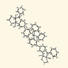 CC12CCCC1(C)N(c1ccccc1)c1ccc(-c3ccc4c(c3)C3(c5ccccc5-c5ccccc53)c3cc(-c5ccc6c(c5)C5(C)CCCC5(C)N6c5ccccc5)ccc3-4)cc12